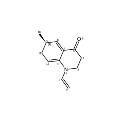 C=CN1CCC(=O)C2=C[C@H](C)CC=C21